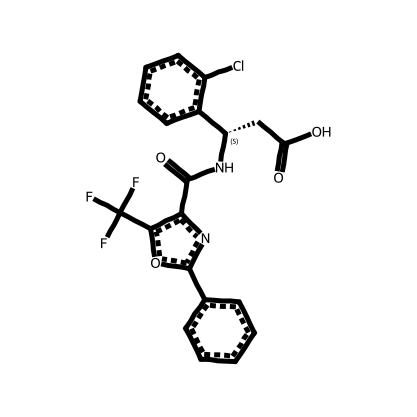 O=C(O)C[C@H](NC(=O)c1nc(-c2ccccc2)oc1C(F)(F)F)c1ccccc1Cl